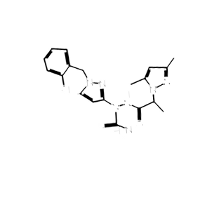 Cc1cc(C)n(C(C)C(=O)NN(C(N)=S)c2ccn(Cc3ccccc3C(F)(F)F)n2)n1